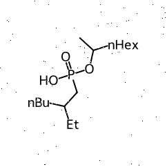 CCCCCCC(C)OP(=O)(O)CC(CC)CCCC